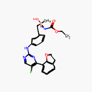 CCOC(=O)N=[SH](C)(O)Cc1cccc(Nc2ncc(F)c(-c3cccc4c3OCC4)n2)c1